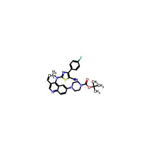 C=Cc1cnc2ccc(N3CCN(C(=O)OC(C)(C)C)CC3)cc2c1N(C)c1nc(-c2ccc(F)cc2)c(C#N)s1